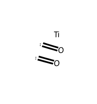 [C]=O.[C]=O.[Ti]